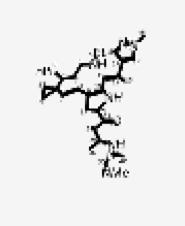 CCCC(CCNCC)C1(/C=C/C2=C(/C=C(\C)c3cnn(C)c3)NC(C(=O)CC(C)NN(C)CNC)C2)CC1